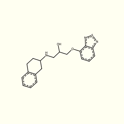 OC(CNC1CCc2ccccc2C1)COc1cccc2nsnc12